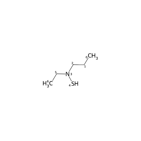 CCCN(S)CC